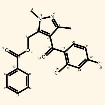 Cc1nn(C)c(COC(=O)c2ccccc2)c1C(=O)c1ccc(Cl)cc1Cl